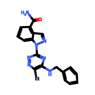 CCc1nnc(-n2ncc3c(C(N)=O)cccc32)nc1NCc1ccccc1